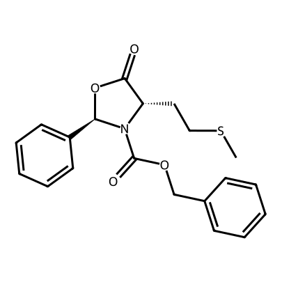 CSCC[C@H]1C(=O)O[C@H](c2ccccc2)N1C(=O)OCc1ccccc1